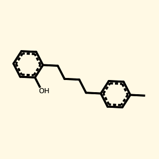 Cc1ccc(CCCCc2ccccc2O)cc1